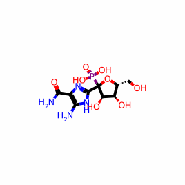 NC(=O)c1nc(C2(P(=O)(O)O)O[C@H](CO)[C@@H](O)[C@H]2O)[nH]c1N